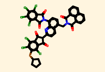 O=C1c2c(Cl)c(Cl)c(SC3CCCC3)c(Cl)c2C(=O)C1c1ccc2c(CN3C(=O)c4cccc5cccc(c45)C3=O)ccc(N3C(=O)c4c(Cl)c(Cl)c(Cl)c(Cl)c4C3=O)c2n1